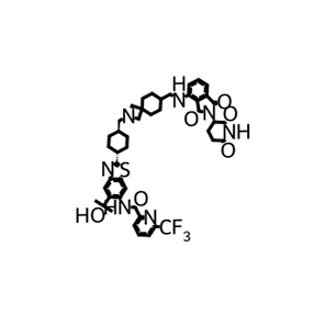 CC(C)(O)c1cc2nc([C@H]3CC[C@H](CN4CC5(CCC(CNc6cccc7c6C(=O)N(C6CCC(=O)NC6=O)C7=O)CC5)C4)CC3)sc2cc1NC(=O)c1cccc(C(F)(F)F)n1